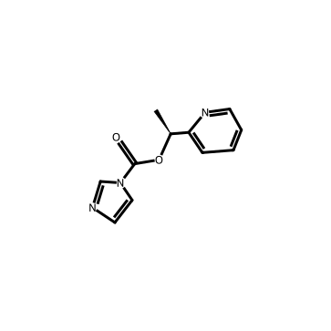 C[C@H](OC(=O)n1ccnc1)c1ccccn1